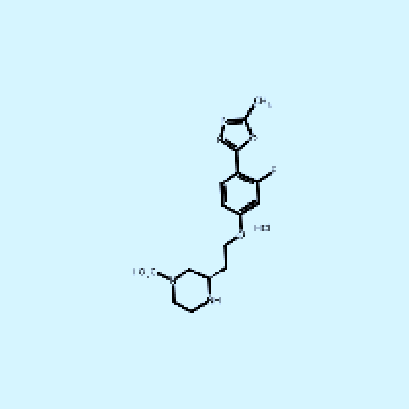 Cc1nnc(-c2ccc(OCC[C@@H]3CN(C(=O)O)CCN3)cc2F)o1.Cl